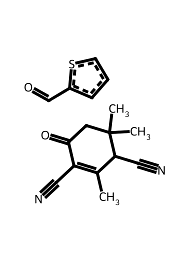 CC1=C(C#N)C(=O)CC(C)(C)C1C#N.O=Cc1cccs1